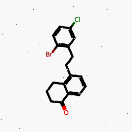 O=C1CCCc2c(CCc3cc(Cl)ccc3Br)cccc21